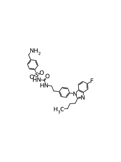 CCCCc1nc2cc(F)ccc2n1-c1ccc(CCNC(=O)NS(=O)(=O)c2ccc(CN)cc2)cc1